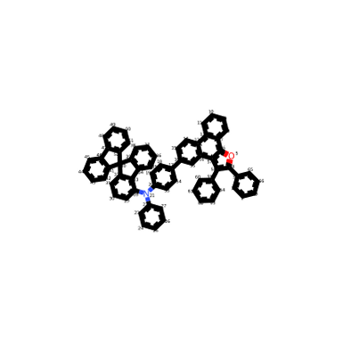 c1ccc(-c2oc3c4ccccc4c4ccc(-c5ccc(N(c6ccccc6)c6cccc7c6-c6ccccc6C76c7ccccc7-c7ccccc76)cc5)cc4c3c2-c2ccccc2)cc1